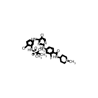 CN1CCC(NC(=O)c2ccc(Nc3ncc(Cl)c(Nc4ccc(Cl)c(NS(=O)(=O)C(C)(C)C)c4)n3)cc2F)CC1